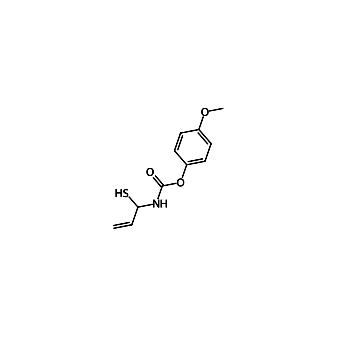 C=CC(S)NC(=O)Oc1ccc(OC)cc1